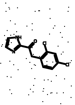 O=C(Cc1ccc(Cl)cc1Cl)c1ncc[nH]1